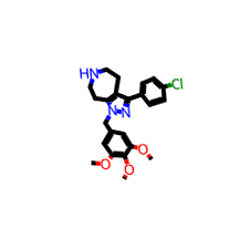 COc1cc(Cn2nc(-c3ccc(Cl)cc3)c3c2CCNCC3)cc(OC)c1OC